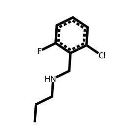 CCCNCc1c(F)cccc1Cl